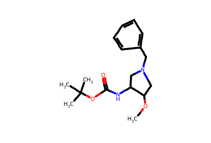 COC1CN(Cc2ccccc2)CC1NC(=O)OC(C)(C)C